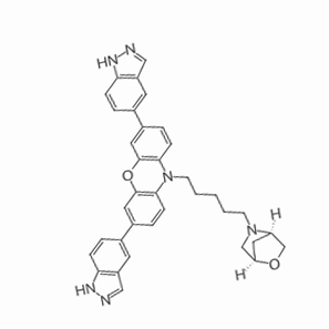 c1cc2c(cc1-c1ccc3[nH]ncc3c1)Oc1cc(-c3ccc4[nH]ncc4c3)ccc1N2CCCCCN1C[C@H]2C[C@@H]1CO2